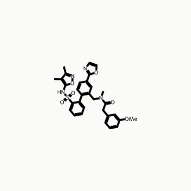 COc1cccc(CC(=O)N(C)Cc2cc(-c3ncco3)ccc2-c2ccccc2S(=O)(=O)Nc2onc(C)c2C)c1